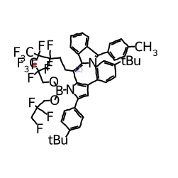 Cc1ccc(C2=N/C(=C(/CCC(F)(F)C(F)(F)C(F)(F)F)c3c(-c4ccc(C(C)(C)C)cc4)cc(-c4ccc(C(C)(C)C)cc4)n3B(OCC(F)(F)CF)OCC(F)(F)C(F)(F)F)c3ccccc32)cc1